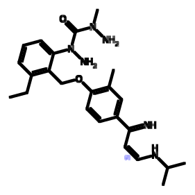 CCc1cccc(N(N)C(=O)N(C)N)c1COc1ccc(C(=N)/C=C\NC(C)C)cc1C